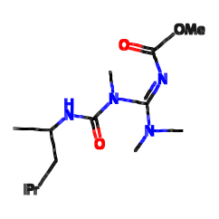 COC(=O)N=C(N(C)C)N(C)C(=O)NC(C)CC(C)C